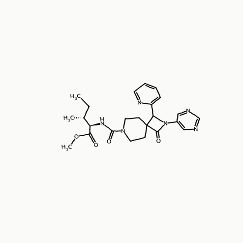 CC[C@@H](C)[C@@H](NC(=O)N1CCC2(CC1)C(=O)N(c1cncnc1)C2c1ccccn1)C(=O)OC